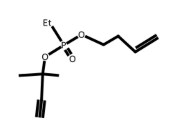 C#CC(C)(C)OP(=O)(CC)OCCC=C